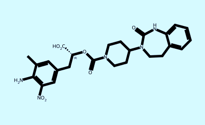 Cc1cc(C[C@@H](OC(=O)N2CCC(N3CCc4ccccc4NC3=O)CC2)C(=O)O)cc([N+](=O)[O-])c1N